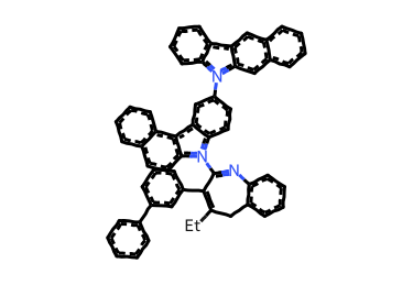 CCC1=C(c2cccc(-c3ccccc3)c2)C(n2c3ccc(-n4c5ccccc5c5cc6ccccc6cc54)cc3c3c4ccccc4ccc32)=Nc2ccccc2C1